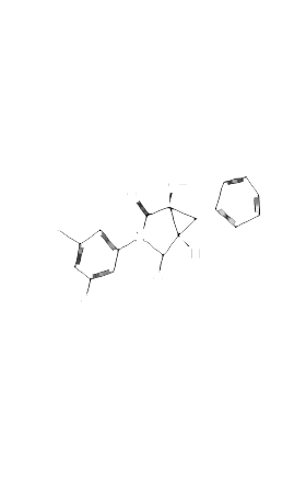 C[C@]12C(=O)N(c3cc(Cl)cc(Cl)c3)C(O)[C@H]1[C@H]2c1ccccc1